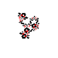 C=C[Si](C)(C)O[Si](O[Si](C)(C)C=C)(O[Si](C)(C)CC[Si](C)(C)O[Si](C)(O[Si](C)(C)CC[Si](C)(C)O[Si](C)(C)O[Si](C)(C)CC[Si](C)(C)O[Si](C)(O[Si](C)(C)CC[Si](C)(C)O[Si](O[Si](C)(C)C=C)(O[Si](C)(C)C=C)c1ccccc1)c1ccccc1)c1ccccc1)c1ccccc1